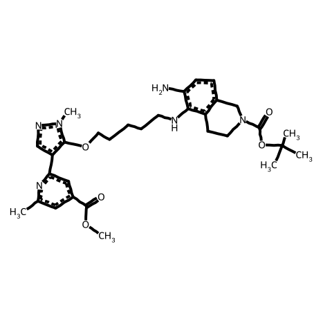 COC(=O)c1cc(C)nc(-c2cnn(C)c2OCCCCCNc2c(N)ccc3c2CCN(C(=O)OC(C)(C)C)C3)c1